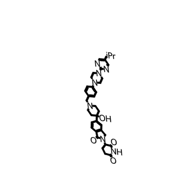 CC(C)c1cnc(N2CCN(c3ccc(CN4CCC(O)(c5ccc6c(c5)CN(C5CCC(=O)NC5=O)C6=O)CC4)cc3)CC2)nc1